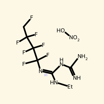 CCN/C(=N/C(F)(F)C(F)(F)C(F)(F)CF)NC(=N)N.O=[N+]([O-])O